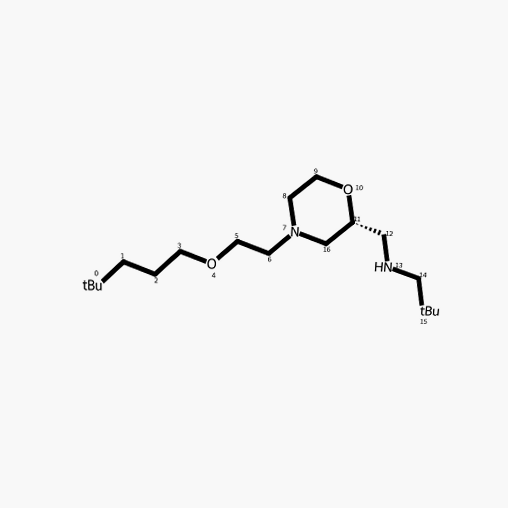 CC(C)(C)CCCOCCN1CCO[C@H](CNCC(C)(C)C)C1